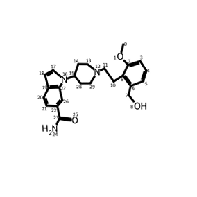 COc1cccc(CO)c1CCN1CCC(n2ccc3ccc(C(N)=O)cc32)CC1